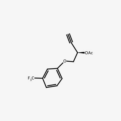 C#C[C@H](COc1cccc(C(F)(F)F)c1)OC(C)=O